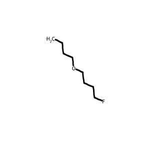 [CH2]CCCOCCCCF